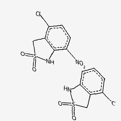 O=S1(=O)Cc2c(Cl)cccc2N1.O=[N+]([O-])c1ccc(Cl)c2c1NS(=O)(=O)C2